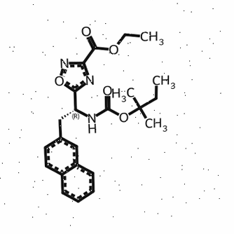 CCOC(=O)c1noc([C@@H](Cc2ccc3ccccc3c2)NC(=O)OC(C)(C)CC)n1